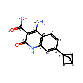 Nc1c(C(=O)O)c(=O)[nH]c2cc(C34CC(C3)C4)ccc12